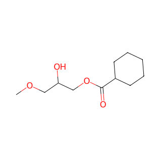 COCC(O)COC(=O)C1CCCCC1